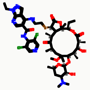 CC[C@H]1OC(=O)[C@H](C)[C@@H](O)[C@H](C)[C@@H](O[C@@H]2O[C@H](C)CC(N(C)C)[C@H]2O)C(C)(OC)C[C@@H](C)C(=O)[C@H](C)C2[C@H](SCCNc3c(C(=O)Nc4c(Cl)cncc4Cl)cnc4c3cnn4CC)C(=O)O[C@@]21C